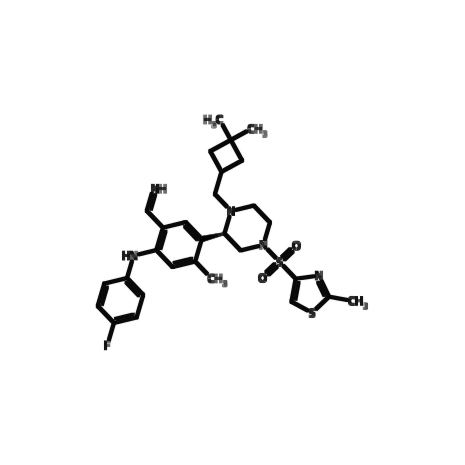 Cc1nc(S(=O)(=O)N2CCN(CC3CC(C)(C)C3)[C@H](c3cc(C=N)c(Nc4ccc(F)cc4)cc3C)C2)cs1